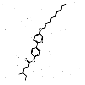 CCCCCCCCCOc1cnc(-c2ccc(OC(=O)CCC(C)CC)cc2)nc1